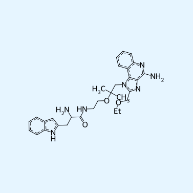 CCOCc1nc2c(N)nc3ccccc3c2n1CC(C)(C)OCCNC(=O)C(N)Cc1cc2ccccc2[nH]1